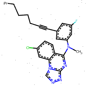 CC(C)CCCCC#Cc1cc(F)cc(N(C)c2nc3nncn3c3cc(Cl)ccc23)c1